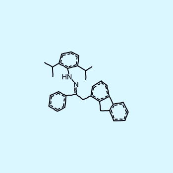 CC(C)c1cccc(C(C)C)c1NN=C(Cc1cccc2c1Cc1ccccc1-2)c1ccccc1